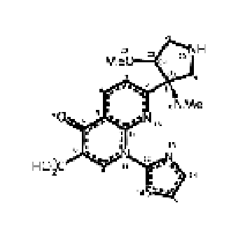 CN[C@]1(c2ccc3c(=O)c(C(=O)O)cn(-c4nccs4)c3n2)CNC[C@@H]1OC